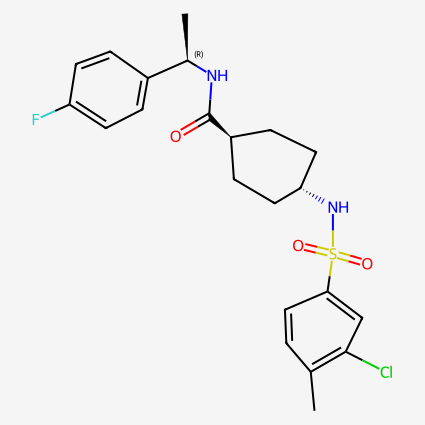 Cc1ccc(S(=O)(=O)N[C@H]2CC[C@H](C(=O)N[C@H](C)c3ccc(F)cc3)CC2)cc1Cl